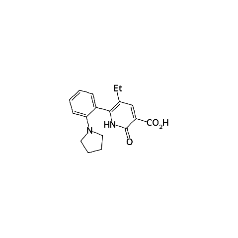 CCc1cc(C(=O)O)c(=O)[nH]c1-c1ccccc1N1CCCC1